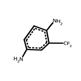 Nc1ccc(N)c(C(F)(F)F)c1